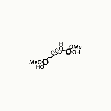 COc1cc(/C=C/C(=O)CC(=O)CC(O)c2ccc(O)c(OC)c2)ccc1O